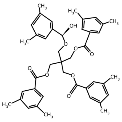 Cc1cc(C)cc(C(=O)OCC(COC(=O)c2cc(C)cc(C)c2)(COC(=O)c2cc(C)cc(C)c2)CO[C@H](O)c2cc(C)cc(C)c2)c1